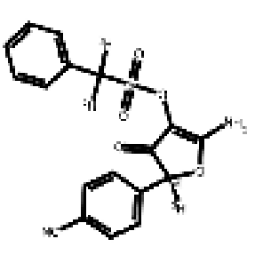 [2H]C([2H])(c1ccccc1)S(=O)(=O)OC1=C(N)O[C@]([2H])(c2ccc(C#N)cc2)C1=O